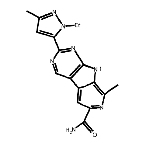 CCn1nc(C)cc1-c1ncc2c(n1)[nH]c1c(C)nc(C(N)=O)cc12